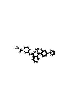 COc1cc(-n2nccn2)ccc1-c1nnc(S[C@@H]2CCCN(C(=O)OC(C)(C)C)C2)c2ccncc12